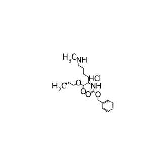 C=CCOC(=O)C(CCCCNC)NC(=O)OCc1ccccc1.Cl